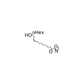 CCCCCC[C@@H](O)C/C=C\CCCCCCCC(=O)C1=NCCO1